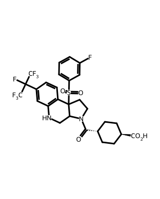 O=C(O)[C@H]1CC[C@H](C(=O)N2CCC3(S(=O)(=O)c4cccc(F)c4)c4ccc(C(F)(C(F)(F)F)C(F)(F)F)cc4NCC23)CC1